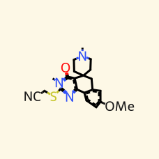 COc1ccc2c(c1)CC1(CCN(C)CC1)c1c-2nc(SCC#N)n(C)c1=O